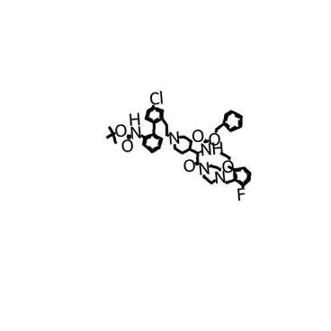 CCOc1cccc(F)c1CN1CCN(C(=O)[C@H](NC(=O)OCc2ccccc2)C2CCN(CCc3cc(Cl)ccc3-c3ccccc3NC(=O)OC(C)(C)C)CC2)CC1